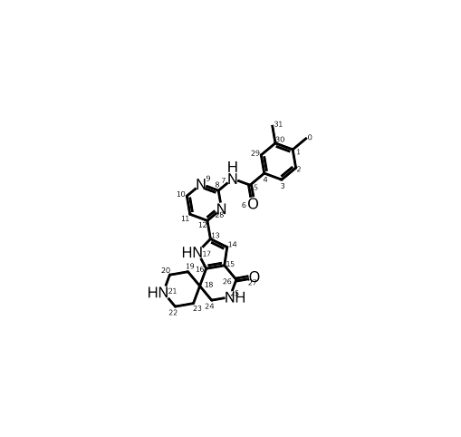 Cc1ccc(C(=O)Nc2nccc(-c3cc4c([nH]3)C3(CCNCC3)CNC4=O)n2)cc1C